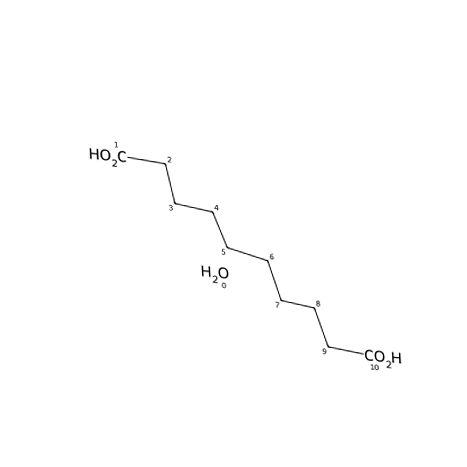 O.O=C(O)CCCCCCCCC(=O)O